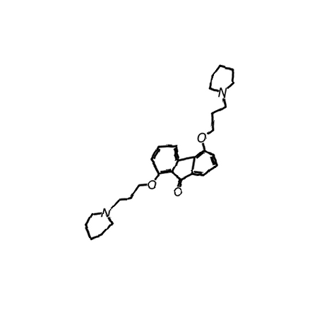 O=C1c2cccc(OCCCN3CCCCC3)c2-c2cccc(OCCCN3CCCCC3)c21